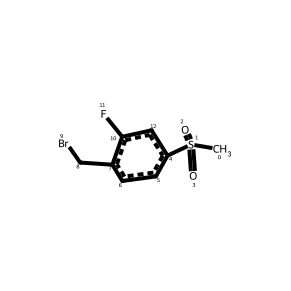 CS(=O)(=O)c1ccc(CBr)c(F)c1